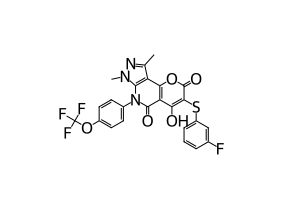 Cc1nn(C)c2c1c1oc(=O)c(Sc3cccc(F)c3)c(O)c1c(=O)n2-c1ccc(OC(F)(F)F)cc1